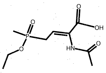 CCOP(C)(=O)C/C=C(\NC(C)=O)C(=O)O